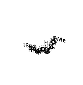 COc1ccc(-c2ccc(C(=O)Nc3ccc(N4CC[C@H](NC(=O)OC(C)(C)C)C4)cc3Br)s2)cc1